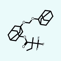 CCC(C)(C(=O)OC12CC3CC(CC(OCOC4C5CC6CC(C5)CC4C6)(C3)C1)C2)C(F)(F)F